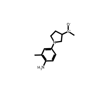 Cc1cc(N2CCC([S+](C)[O-])C2)ccc1N